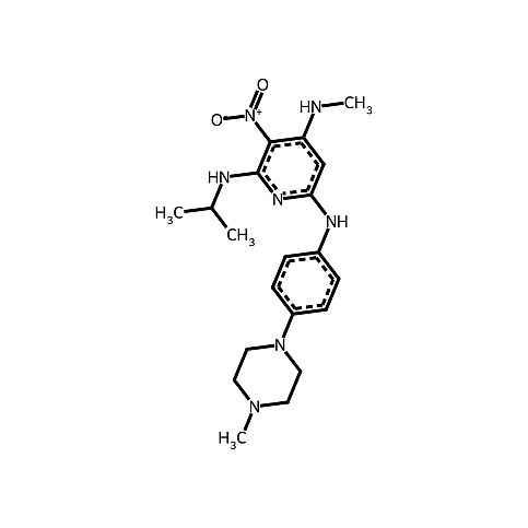 CNc1cc(Nc2ccc(N3CCN(C)CC3)cc2)nc(NC(C)C)c1[N+](=O)[O-]